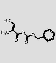 CC=C(C)C(=O)OC(=O)OCc1ccccc1